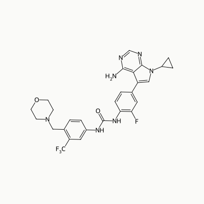 Nc1ncnc2c1c(-c1ccc(NC(=O)Nc3ccc(CN4CCOCC4)c(C(F)(F)F)c3)c(F)c1)cn2C1CC1